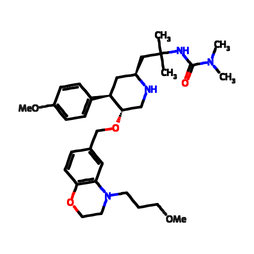 COCCCN1CCOc2ccc(CO[C@H]3CN[C@H](CC(C)(C)NC(=O)N(C)C)C[C@@H]3c3ccc(OC)cc3)cc21